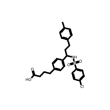 Cc1ccc(CCC(NS(=O)(=O)c2ccc(Cl)cc2)c2ccc(CCCC(=O)O)cc2)cc1